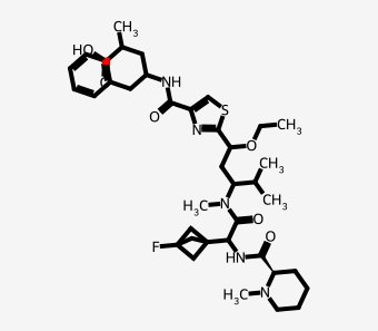 CCOC(CC(C(C)C)N(C)C(=O)C(NC(=O)[C@H]1CCCCN1C)C12CC(F)(C1)C2)c1nc(C(=O)NC(Cc2ccccc2)CC(C)C(=O)O)cs1